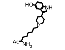 CC(=O)C(N)CCCCCCN1CCC(c2c[nH]c3ccc(O)cc23)CC1